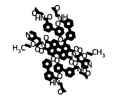 CCCOC(=O)C(Cc1ccncc1)N1C(=O)c2cc(Cc3cccc(-c4cccc(C(=O)NCC5CO5)c4)c3)c3c4c(Oc5cccc(-c6cccc(C(=O)NCC7CO7)c6)c5)cc5c6c(cc(Oc7cccc(-c8cccc(C(=O)NCC9CO9)c8)c7)c(c7c(Oc8cccc(-c9cccc(C(=O)NCC%10CO%10)c9)c8)cc(c2c37)C1=O)c64)C(=O)N(C(Cc1ccncc1)C(=O)OCCC)C5=O